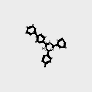 Cc1ccc(C2N=C(c3ccccc3)N=C(c3ccc(-c4ccccc4)cc3)N2)cc1